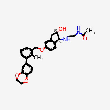 CC(=O)NCCN[C@H]1c2ccc(OCc3cccc(-c4ccc5c(c4)OCCO5)c3C)cc2C[C@@H]1O